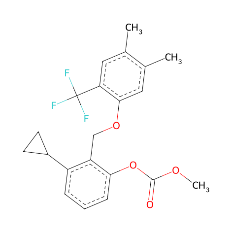 COC(=O)Oc1cccc(C2CC2)c1COc1cc(C)c(C)cc1C(F)(F)F